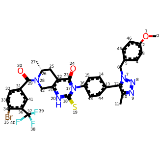 COc1ccc(Cn2nnc(C)c2-c2ccc(-n3c(=S)[nH]c4c(c3=O)C[C@@H](C)N(C(=O)c3ccc(Br)c(C(F)(F)F)c3)C4)cc2)cc1